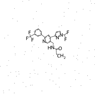 C=CC(=O)NCc1cnc(-c2cccc(C(F)(F)F)c2)cc1-c1ccn(C(F)F)n1